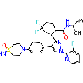 CC(C)[C@@H](C#N)NC(=O)C1CCC(F)(F)CC1c1nn(-c2ncccc2F)cc1-c1ccc(N2CCS(=N)(=O)CC2)cc1